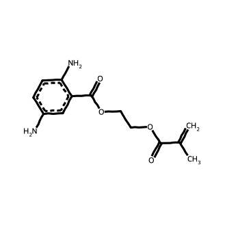 C=C(C)C(=O)OCCOC(=O)c1cc(N)ccc1N